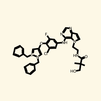 CC(C)(CO)C(=O)NCCn1ccc2ncnc(Nc3cc(F)c(OC4=CN(Cc5ccccc5)S(Cc5ccccc5)=C4)c(Cl)c3)c21